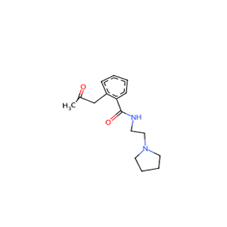 CC(=O)Cc1ccccc1C(=O)NCCN1CCCC1